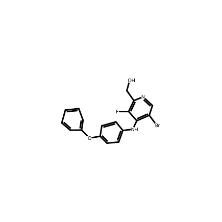 OCc1ncc(Br)c(Nc2ccc(Oc3ccccc3)cc2)c1F